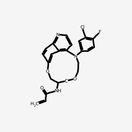 C=CC(=O)NC1COCCN(c2ccc(F)c(Cl)c2)c2ccnc3ccc(cc23)OC1